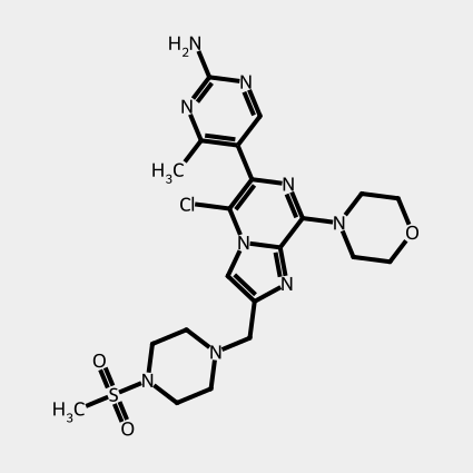 Cc1nc(N)ncc1-c1nc(N2CCOCC2)c2nc(CN3CCN(S(C)(=O)=O)CC3)cn2c1Cl